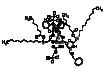 CCCCCCCCCCC[C@H](CC(=O)N[C@@H](COCc1ccccc1)CO[C@@H]1O[C@H](COC(=O)OC(C)(C)C(Cl)(Cl)Cl)[C@@H](OP(=O)(Oc2ccccc2)Oc2ccccc2)[C@H](OC(=O)C[C@@H](CCCCCCCCCCC)OC(=O)CCCCCC)[C@H]1NC(=O)OCC(Cl)(Cl)Cl)OC(=O)CCCCCC